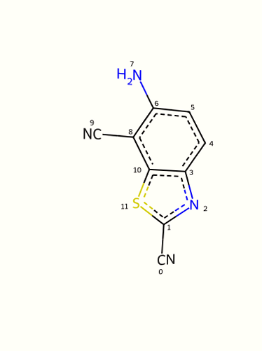 N#Cc1nc2ccc(N)c(C#N)c2s1